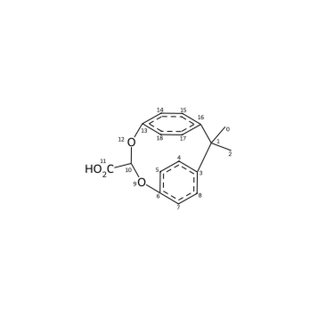 CC1(C)c2ccc(cc2)OC(C(=O)O)Oc2ccc1cc2